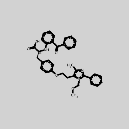 COCn1c(-c2ccccc2)nc(C)c1CCOc1ccc(C[C@H](Nc2ccccc2C(=O)c2ccccc2)C(=O)O)cc1